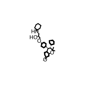 COc1ccc2c(c1)OC(C)(C)[C@@H](c1ccccc1)[C@@H]2c1ccc(OC[C@@H](O)CNC2CCCCC2)cc1